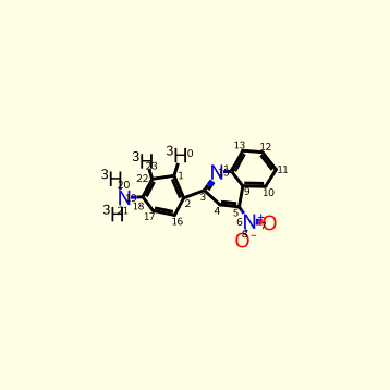 [3H]c1c(-c2cc([N+](=O)[O-])c3ccccc3n2)ccc(N([3H])[3H])c1[3H]